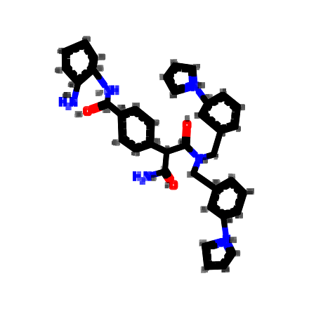 NC(=O)C(C(=O)N(Cc1cccc(-n2cccc2)c1)Cc1cccc(-n2cccc2)c1)c1ccc(C(=O)Nc2ccccc2N)cc1